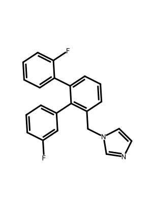 Fc1cccc(-c2c(Cn3ccnc3)cccc2-c2ccccc2F)c1